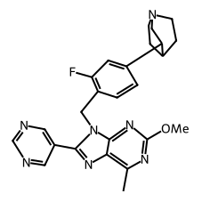 COc1nc(C)c2nc(-c3cncnc3)n(Cc3ccc(C4CN5CCC4CC5)cc3F)c2n1